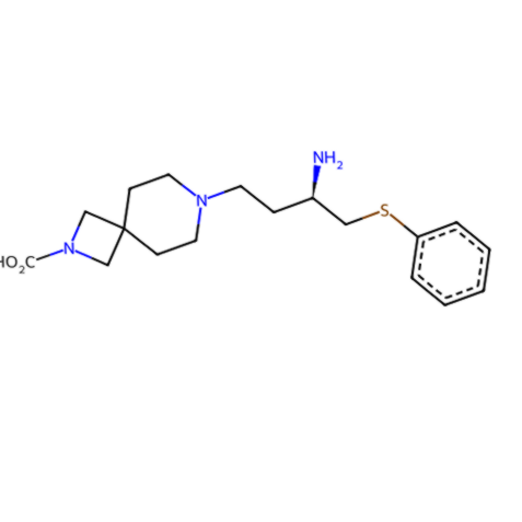 N[C@H](CCN1CCC2(CC1)CN(C(=O)O)C2)CSc1ccccc1